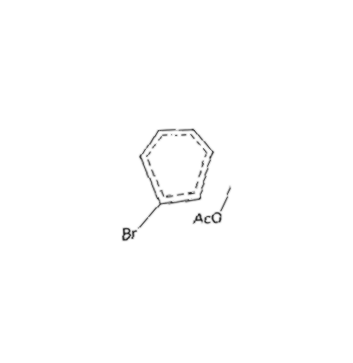 Brc1ccccc1.COC(C)=O